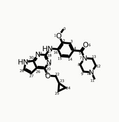 COc1cc(C(=O)N2CCN(C)CC2)ccc1Nc1nc(OCC2CC2)c2cc[nH]c2n1